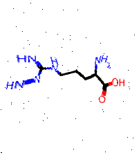 N=NC(=N)NCCCC(N)C(=O)O